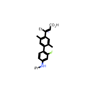 CC/C(=C\C(=O)O)c1cc(C)c(-c2ccc(NC(C)C)cc2F)cc1C